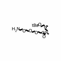 CN(CCOC(C)(C)C)CCN(C)C(=O)OCCOCCOCCOCCN